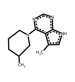 Cc1c[nH]c2ncnc(N3CCCC(C)C3)c12